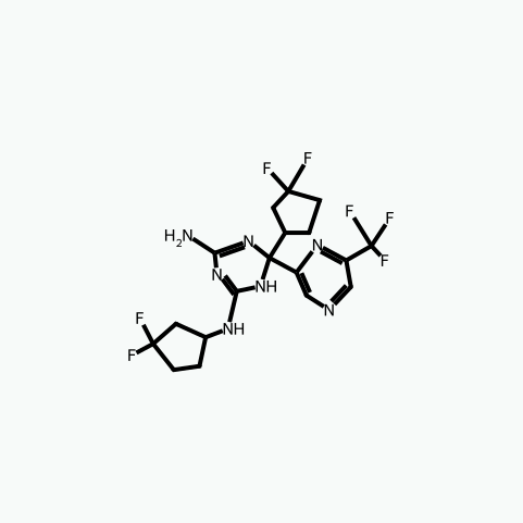 NC1=NC(c2cncc(C(F)(F)F)n2)(C2CCC(F)(F)C2)NC(NC2CCC(F)(F)C2)=N1